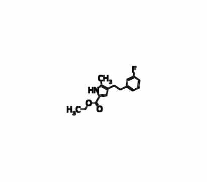 CCOC(=O)c1cc(CCc2cccc(F)c2)c(C)[nH]1